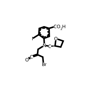 O=C=C(CBr)CN(C[C@@H]1CCO1)c1cc(C(=O)O)ccc1I